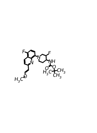 COC=Cc1ccc2c(F)ccc(N3CCC(NC(=O)OC(C)(C)C)C(F)C3)c2n1